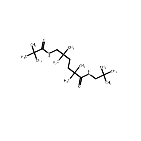 CC(C)(C)CNC(=O)C(C)(C)CCC(C)(C)CNC(=O)C(C)(C)C